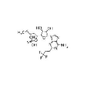 CSCCC(OP(O)(O)=S)[C@H]1O[C@@H](n2cnc3c(N)nc(CCC(F)(F)F)nc32)[C@H](O)[C@@H]1O